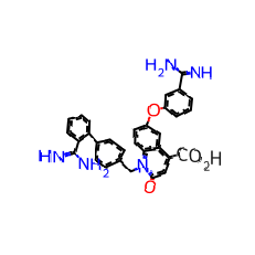 N=C(N)c1cccc(Oc2ccc3c(c2)c(C(=O)O)cc(=O)n3Cc2ccc(-c3ccccc3C(=N)N)cc2)c1